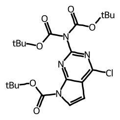 CC(C)(C)OC(=O)N(C(=O)OC(C)(C)C)c1nc(Cl)c2ccn(C(=O)OC(C)(C)C)c2n1